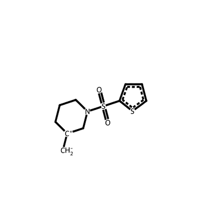 [CH2-][C+]1CCCN(S(=O)(=O)c2cccs2)C1